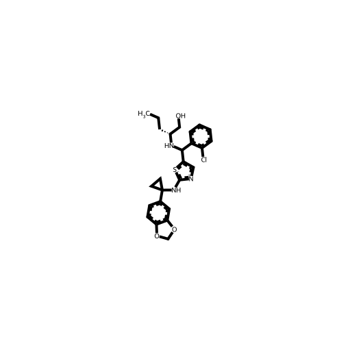 CCC[C@H](CO)NC(c1cnc(NC2(c3ccc4c(c3)OCO4)CC2)s1)c1ccccc1Cl